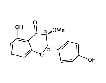 CO[C@@H]1C(=O)c2c(O)cccc2O[C@H]1c1ccc(O)cc1